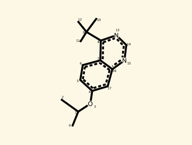 CC(C)Oc1ccc2c(C(C)(C)C)ncnc2c1